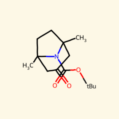 CC(C)(C)OC(=O)N1C2(C)CCC1(C)CC(=O)C2